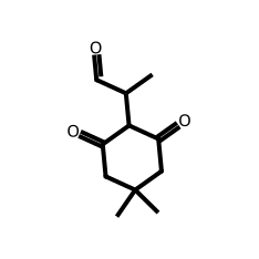 CC(C=O)C1C(=O)CC(C)(C)CC1=O